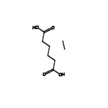 CC.O=C(O)CCCCC(=O)O